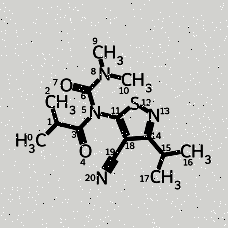 CC(C)C(=O)N(C(=O)N(C)C)c1snc(C(C)C)c1C#N